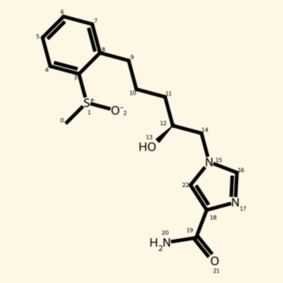 C[S+]([O-])c1ccccc1CCC[C@H](O)Cn1cnc(C(N)=O)c1